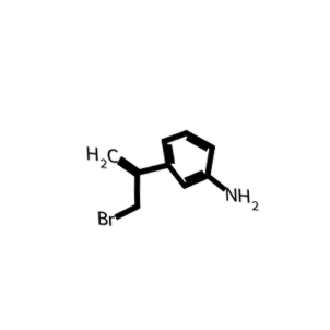 C=C(CBr)c1cccc(N)c1